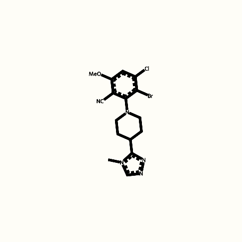 COc1cc(Cl)c(Br)c(N2CCC(c3nncn3C)CC2)c1C#N